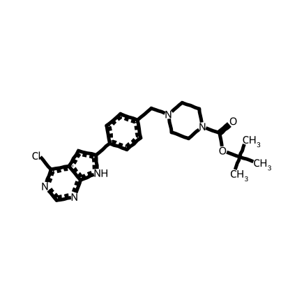 CC(C)(C)OC(=O)N1CCN(Cc2ccc(-c3cc4c(Cl)ncnc4[nH]3)cc2)CC1